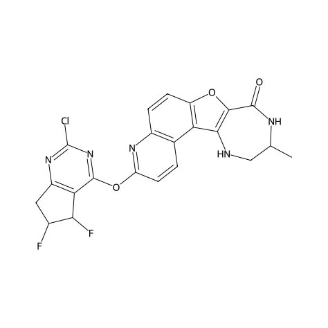 CC1CNc2c(oc3ccc4nc(Oc5nc(Cl)nc6c5C(F)C(F)C6)ccc4c23)C(=O)N1